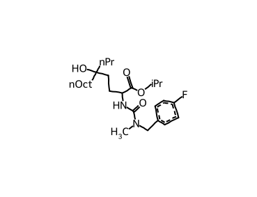 CCCCCCCCC(O)(CCC)CCC(NC(=O)N(C)Cc1ccc(F)cc1)C(=O)OC(C)C